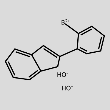 [B+2]c1ccccc1C1=Cc2ccccc2C1.[OH-].[OH-]